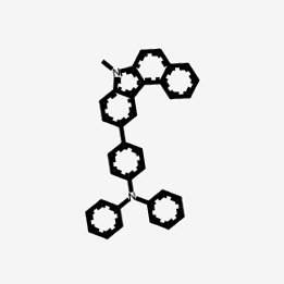 Cn1c2ccc(-c3ccc(N(c4ccccc4)c4ccccc4)cc3)cc2c2c3ccccc3ccc21